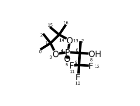 CC1(C)OP(=O)(C(C)(O)C(F)(F)F)OC1(C)C